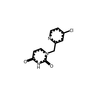 O=c1ccn(Cc2cc(Cl)ccn2)c(=O)[nH]1